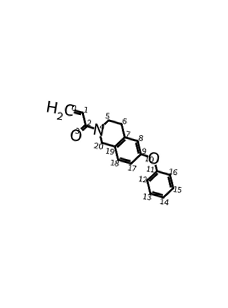 C=CC(=O)N1CCc2cc(Oc3ccccc3)ccc2C1